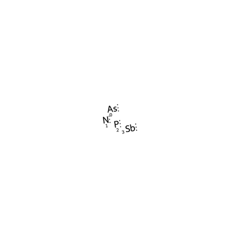 [As].[N].[P].[Sb]